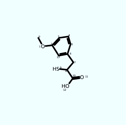 COc1cccc(CC(S)C(=O)O)c1